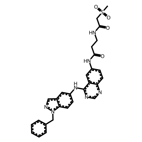 CS(=O)(=O)CC(=O)NCCC(=O)Nc1ccc2ncnc(Nc3ccc4c(cnn4Cc4ccccc4)c3)c2c1